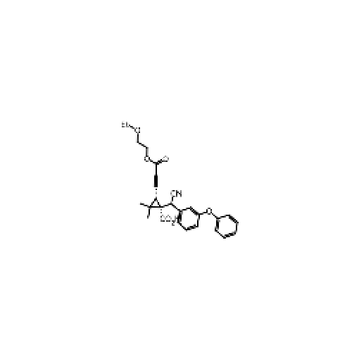 CCOCCOC(=O)C#C[C@H]1C(C)(C)[C@]1(C(=O)O)[C@@H](C#N)c1cccc(Oc2ccccc2)c1